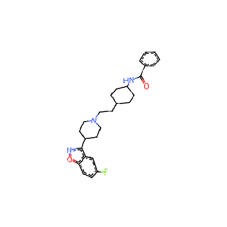 O=C(NC1CCC(CCN2CCC(c3noc4ccc(F)cc34)CC2)CC1)c1ccccc1